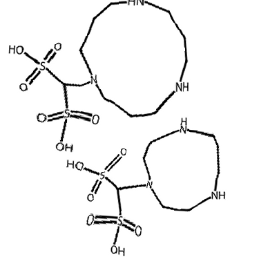 O=S(=O)(O)C(N1CCCNCCCNCCC1)S(=O)(=O)O.O=S(=O)(O)C(N1CCNCCNCC1)S(=O)(=O)O